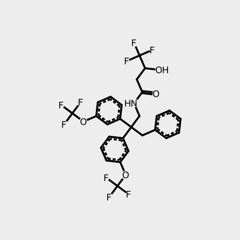 O=C(CC(O)C(F)(F)F)NCC(Cc1ccccc1)(c1cccc(OC(F)(F)F)c1)c1cccc(OC(F)(F)F)c1